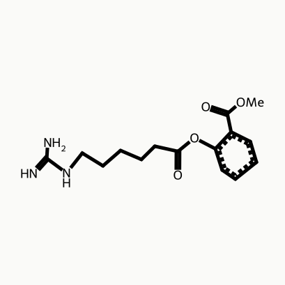 COC(=O)c1ccccc1OC(=O)CCCCCNC(=N)N